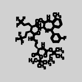 Cc1cccc2c1NC(=O)[C@@H](NC(=O)[C@H](CCC(F)(F)F)[C@H](CCC(F)(F)F)C(=O)NSC[C@H](NC(=O)OC(C)(C)C)C(=O)OC(C)(C)C)N=C2c1cccc(F)c1